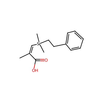 CC(=C[Si](C)(C)CCc1ccccc1)C(=O)O